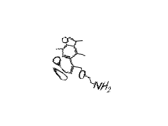 Cc1c2occ(C)c2c(C)c2c(COCCN)cc(=O)oc12